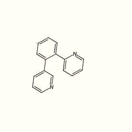 [c]1ccc(-c2ccccn2)c(-c2cccnc2)c1